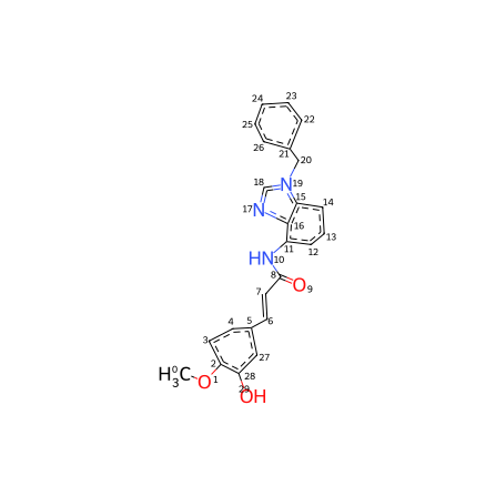 COc1ccc(C=CC(=O)Nc2cccc3c2ncn3Cc2ccccc2)cc1O